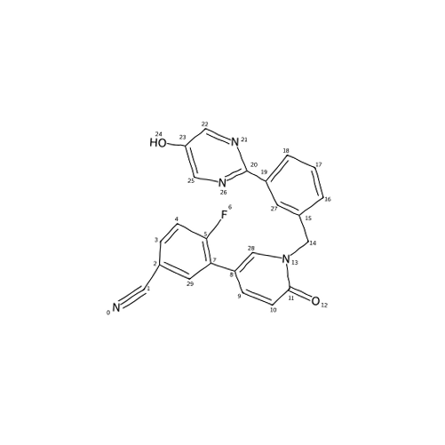 N#Cc1ccc(F)c(-c2ccc(=O)n(Cc3cccc(-c4ncc(O)cn4)c3)c2)c1